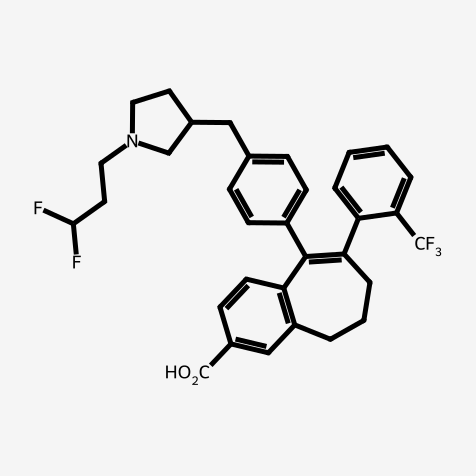 O=C(O)c1ccc2c(c1)CCCC(c1ccccc1C(F)(F)F)=C2c1ccc(CC2CCN(CCC(F)F)C2)cc1